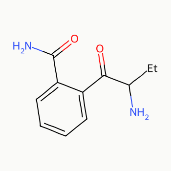 CCC(N)C(=O)c1ccccc1C(N)=O